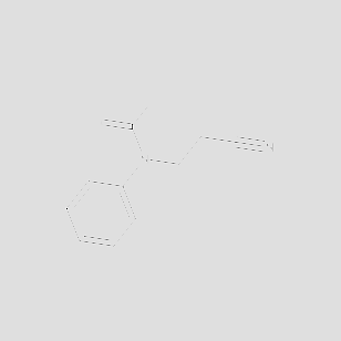 N#CCCN(C(=O)O)c1ccccc1